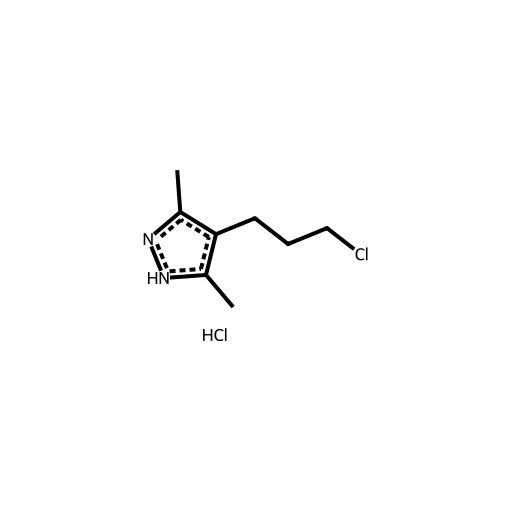 Cc1n[nH]c(C)c1CCCCl.Cl